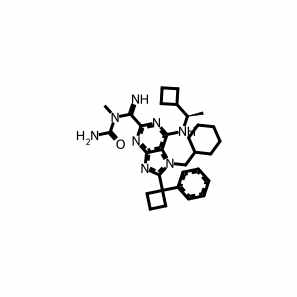 C[C@@H](Nc1nc(C(=N)N(C)C(N)=O)nc2nc(C3(c4ccccc4)CCC3)n(CC3CCCCC3)c12)C1CCC1